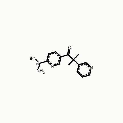 CC(C)[C@H](N)c1ccc(C(=O)C(C)(C)c2cccnc2)cn1